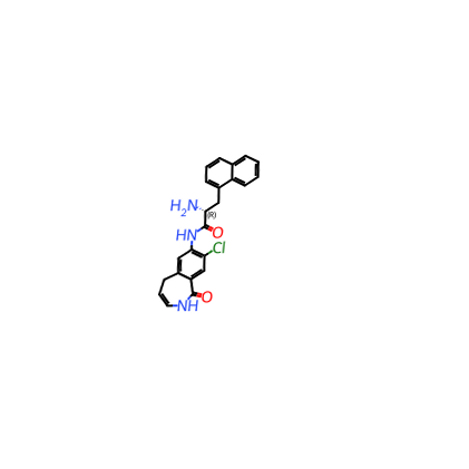 N[C@H](Cc1cccc2ccccc12)C(=O)Nc1cc2c(cc1Cl)C(=O)NC=CC2